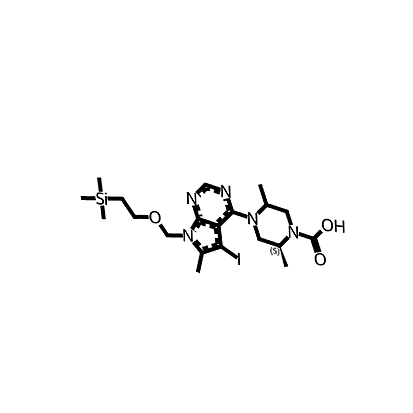 Cc1c(I)c2c(N3C[C@H](C)N(C(=O)O)CC3C)ncnc2n1COCC[Si](C)(C)C